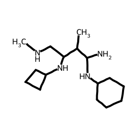 CNCC(NC1CCC1)C(C)C(N)NC1CCCCC1